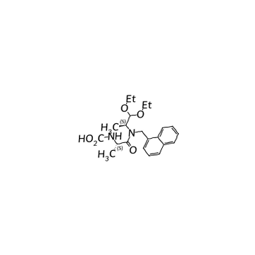 CCOC(OCC)[C@H](C)N(Cc1cccc2ccccc12)C(=O)[C@H](C)NC(=O)O